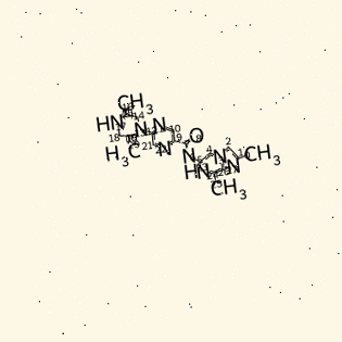 Cc1cn2cc(NC(=O)c3cnc(N4C[C@H](C)NC[C@H]4C)cn3)nc(C)c2n1